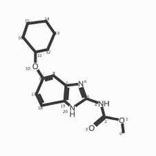 COC(=O)Nc1nc2cc(OC3CCCCC3)ccc2[nH]1